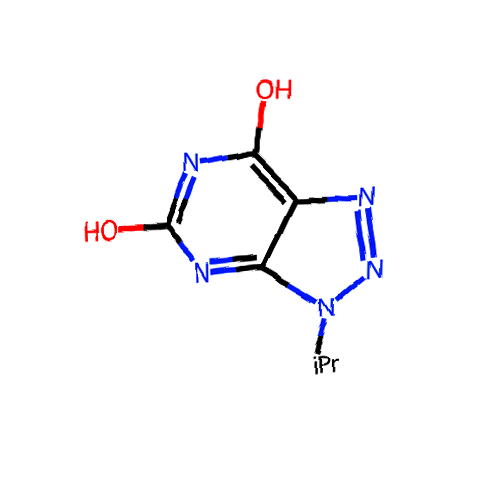 CC(C)n1nnc2c(O)nc(O)nc21